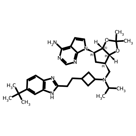 CC(C)N(C[C@H]1C[C@@H](n2ccc3c(N)ncnc32)[C@@H]2OC(C)(C)O[C@H]12)C1CC(CCc2nc3ccc(C(C)(C)C)cc3[nH]2)C1